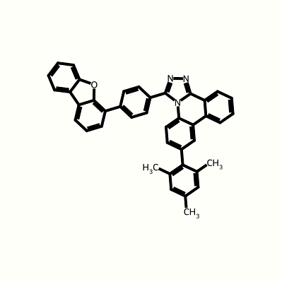 Cc1cc(C)c(-c2ccc3c(c2)c2ccccc2c2nnc(-c4ccc(-c5cccc6c5oc5ccccc56)cc4)n32)c(C)c1